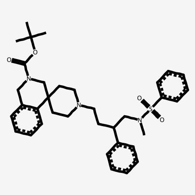 CN(CC(CCN1CCC2(CC1)CN(C(=O)OC(C)(C)C)Cc1ccccc12)c1ccccc1)S(=O)(=O)c1ccccc1